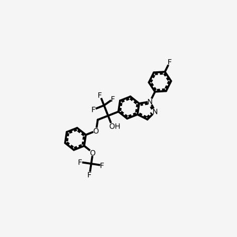 OC(COc1ccccc1OC(F)(F)F)(c1ccc2c(cnn2-c2ccc(F)cc2)c1)C(F)(F)F